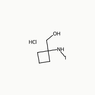 Cl.OCC1(NI)CCC1